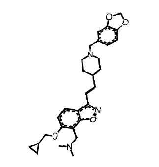 CN(C)Cc1c(OCC2CC2)ccc2c(CCC3CCN(Cc4ccc5c(c4)OCO5)CC3)noc12